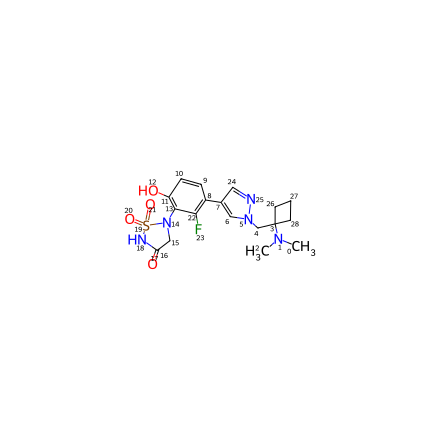 CN(C)C1(Cn2cc(-c3ccc(O)c(N4CC(=O)NS4(=O)=O)c3F)cn2)CCC1